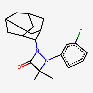 CC1(C)C(=O)N(C2C3CC4CC(C3)CC2C4)N1c1cccc(F)c1